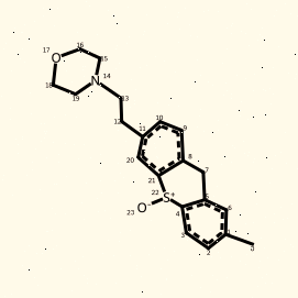 Cc1ccc2c(c1)Cc1ccc(CCN3CCOCC3)cc1[S+]2[O-]